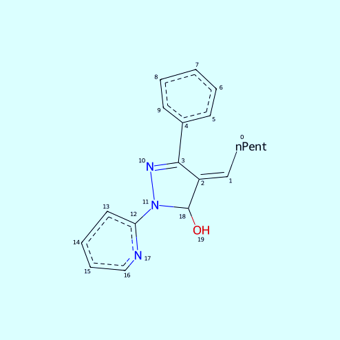 CCCCC/C=C1\C(c2ccccc2)=NN(c2ccccn2)C1O